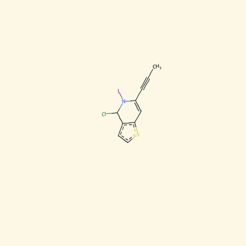 CC#CC1=Cc2sccc2C(Cl)N1I